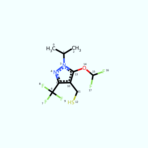 CC(C)n1nc(C(F)(F)F)c(CS)c1OC(F)F